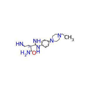 CCN1CCN(c2ccc(NC(=N)/C(=C/C=N)C(N)=O)cc2)CC1